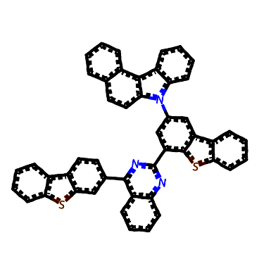 c1ccc2c(c1)ccc1c2c2ccccc2n1-c1cc(-c2nc(-c3ccc4c(c3)sc3ccccc34)c3ccccc3n2)c2sc3ccccc3c2c1